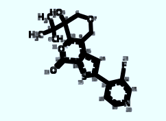 CC(C)(C)C1(O)COCc2c1oc(=O)c1sc(-c3ccncc3F)cc21